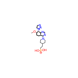 COc1ccc2c(N3CCC(CCP(=O)(O)O)CC3)ncnc2c1-n1ccnn1